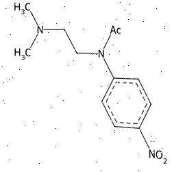 CC(=O)N(CCN(C)C)c1ccc([N+](=O)[O-])cc1